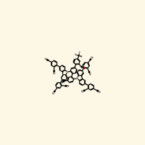 N#Cc1ccc(-c2ccc3c(c2)c2cc(-c4ccc(C#N)cc4C#N)ccc2n3-c2ccc(C#N)cc2-c2ccc(-c3ccc(C(F)(F)F)cc3C#N)cc2-n2c3ccc(-c4ccc(C#N)cc4C#N)cc3c3cc(-c4ccc(C#N)cc4C#N)ccc32)c(C#N)c1